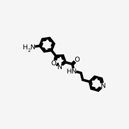 Nc1cccc(-c2cc(C(=O)NCCc3ccncc3)no2)c1